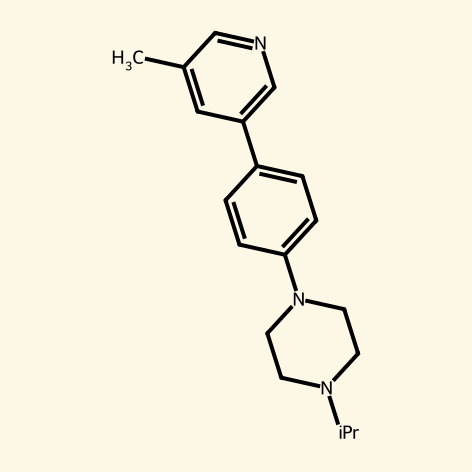 Cc1cncc(-c2ccc(N3CCN(C(C)C)CC3)cc2)c1